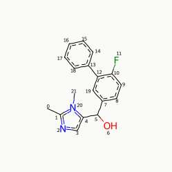 Cc1ncc(C(O)c2ccc(F)c(-c3ccccc3)c2)n1C